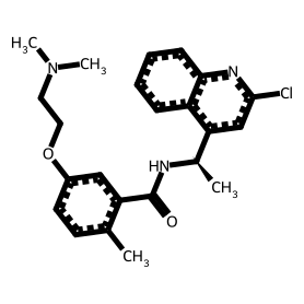 Cc1ccc(OCCN(C)C)cc1C(=O)N[C@H](C)c1cc(Cl)nc2ccccc12